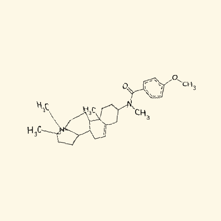 COc1ccc(C(=O)N(C)C2CCC3(C)C(=CCC4C3CCC35CN(C)C(C)C3CCC45)C2)cc1